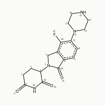 O=C1CCC(N2Cc3c(ccc(N4CCNCC4)c3F)C2=O)C(=O)N1